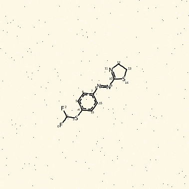 FC(F)Sc1ccc(/N=N/C2=NCCS2)cc1